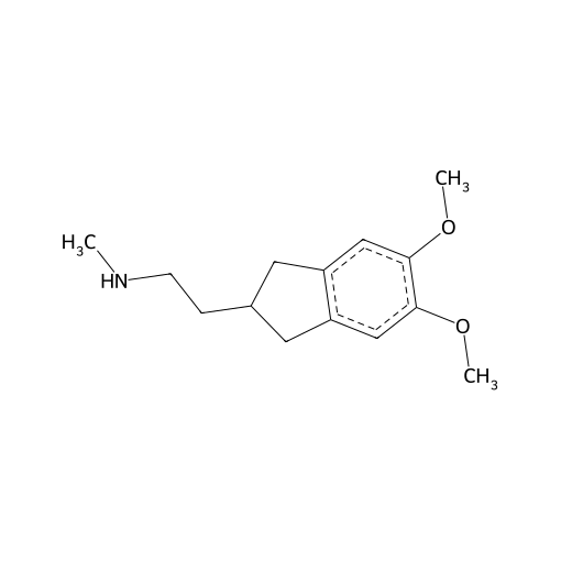 CNCCC1Cc2cc(OC)c(OC)cc2C1